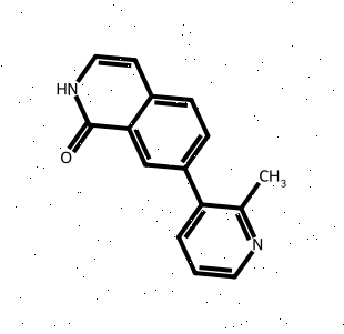 Cc1ncccc1-c1ccc2cc[nH]c(=O)c2c1